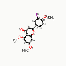 COc1cc(OC)c2c(=O)cc(-c3ccc(OC)c(I)c3)oc2c1